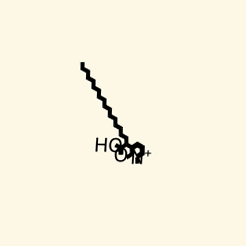 CCCCCCCCCCCCCCCCCC(C(=O)O)c1ccc[n+](C)c1C